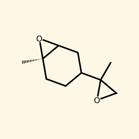 CC1(C2CC[C@@]3(C)OC3C2)CO1